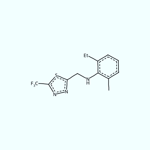 CCc1cccc(C)c1NCc1nnc(C(F)(F)F)s1